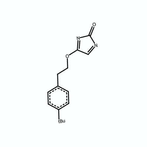 CC(C)(C)c1ccc(CCOC2=NC(=O)N=C2)cc1